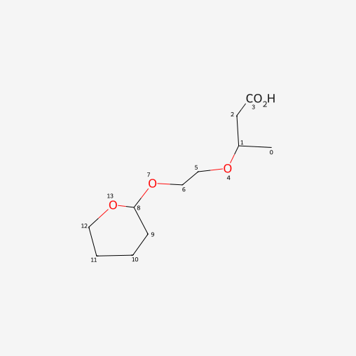 CC(CC(=O)O)OCCOC1CCCCO1